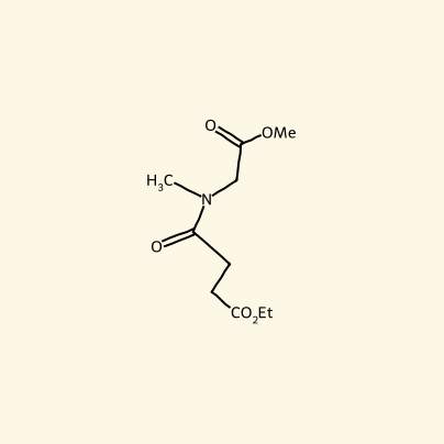 CCOC(=O)CCC(=O)N(C)CC(=O)OC